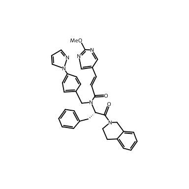 COc1ncc(C=CC(=O)N(Cc2ccc(-n3cccn3)cc2)[C@@H](Cc2ccccc2)C(=O)N2CCc3ccccc3C2)cn1